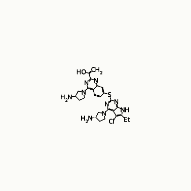 C=C(O)c1nc(N2CC[C@@H](N)C2)c2ccc(Sc3nc(N4CC[C@H](N)C4)c4c(Cl)c(CC)[nH]c4n3)cc2n1